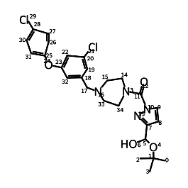 CC(C)(C)OC(O)c1ccn(C(=O)N2CCN(Cc3cc(Cl)cc(Oc4ccc(Cl)cc4)c3)CC2)n1